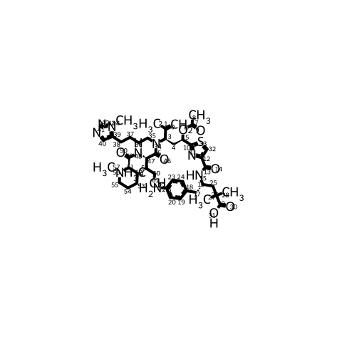 C=C(C)[C@@H](C[C@@H](OC(C)=O)c1nc(C(=O)N[C@@H](Cc2ccc(N)cc2)CC(C)(C)C(=O)O)cs1)N(CCCCc1cnnn1C)C(=O)[C@@H](NC(=O)[C@H]1CCCCN1C)[C@@H](C)CC